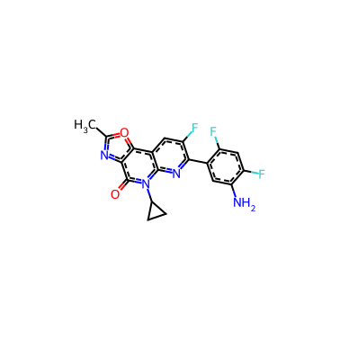 Cc1nc2c(=O)n(C3CC3)c3nc(-c4cc(N)c(F)cc4F)c(F)cc3c2o1